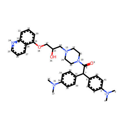 CN(C)c1ccc(C(C(=O)N2CCN(CC(O)COc3cccc4ncccc34)CC2)c2ccc(N(C)C)cc2)cc1